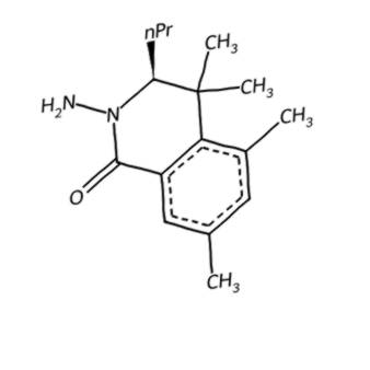 CCC[C@@H]1N(N)C(=O)c2cc(C)cc(C)c2C1(C)C